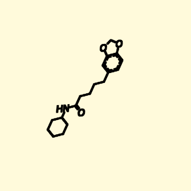 O=C(CCCCc1ccc2c(c1)OCO2)NC1CCCCC1